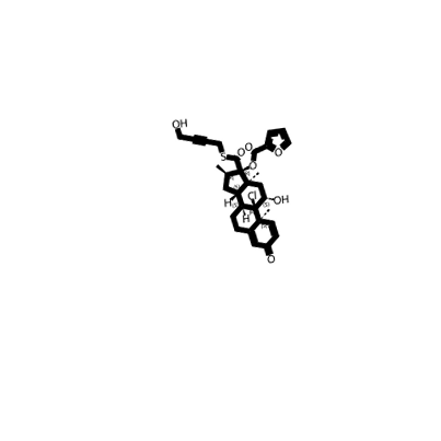 C[C@@H]1C[C@H]2[C@@H]3CCC4=CC(=O)C=C[C@]4(C)[C@@]3(Cl)[C@@H](O)C[C@]2(C)[C@@]1(OC(=O)c1ccco1)C(=O)SCC#CCO